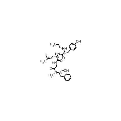 C=CCN[C@@H](Cc1ccc(O)cc1)C(=O)N[C@@H](CC[S+](C)[O-])C(=O)NCC(=O)N(C)[C@H](CO)Cc1ccccc1